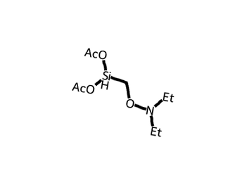 CCN(CC)OC[SiH](OC(C)=O)OC(C)=O